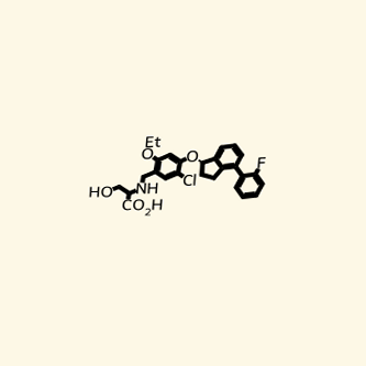 CCOc1cc(O[C@H]2CCc3c(-c4ccccc4F)cccc32)c(Cl)cc1CNC(CO)C(=O)O